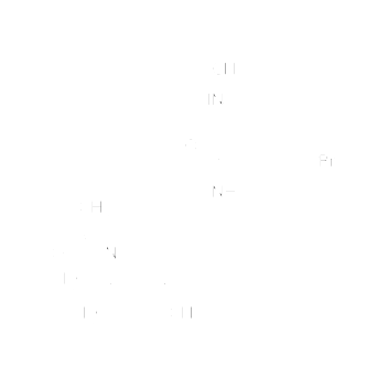 CNc1ccc(Br)cc1C(=O)Nc1ccc2c(c1)C(C)(c1ccccc1)CC(C)(C)N2C(C)=O